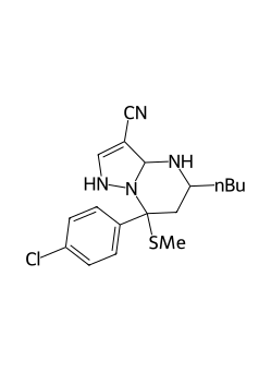 CCCCC1CC(SC)(c2ccc(Cl)cc2)N2NC=C(C#N)C2N1